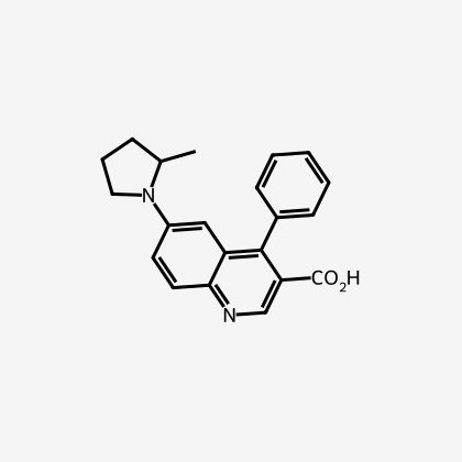 CC1CCCN1c1ccc2ncc(C(=O)O)c(-c3ccccc3)c2c1